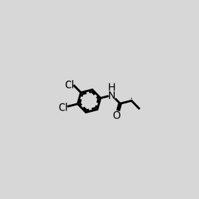 C[CH]C(=O)Nc1ccc(Cl)c(Cl)c1